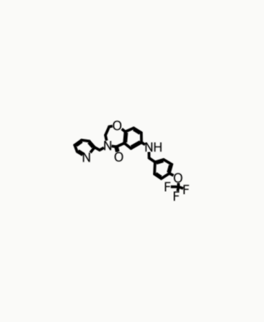 O=C1c2cc(NCc3ccc(OC(F)(F)F)cc3)ccc2OCCN1Cc1ccccn1